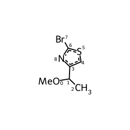 COC(C)c1csc(Br)n1